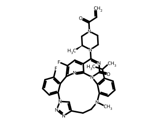 C=CC(=O)N1CCN(c2nc(=O)n3c4nc(c(F)cc24)-c2c(F)cccc2-n2cc(nn2)CCN(C)c2cccc(C(C)C)c2-3)[C@@H](C)C1